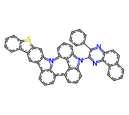 c1ccc(-c2nc3ccc4ccccc4c3nc2-n2c3cccc4c5cccc6c7cc8c(cc7n(c7cccc2c7c43)c56)sc2ccccc28)cc1